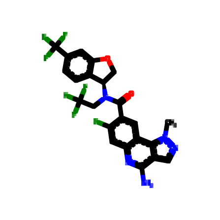 Cn1ncc2c(N)nc3cc(F)c(C(=O)N(CC(F)(F)F)[C@@H]4COc5cc(C(F)(F)F)ccc54)cc3c21